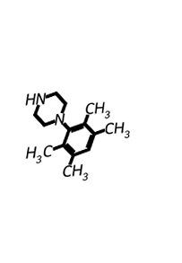 Cc1cc(C)c(C)c(N2CCNCC2)c1C